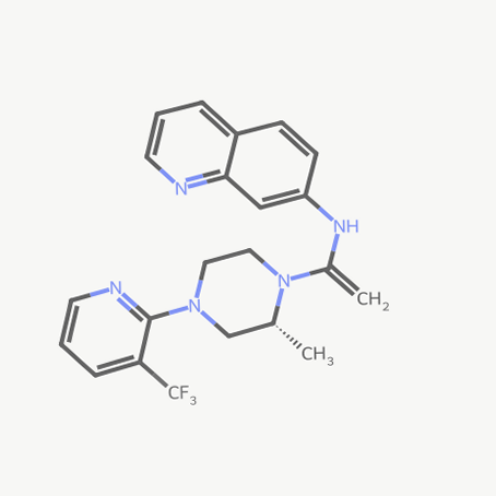 C=C(Nc1ccc2cccnc2c1)N1CCN(c2ncccc2C(F)(F)F)C[C@H]1C